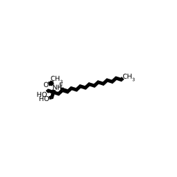 CCCCCCCCCCCCC/C=C(\F)CC(CO)(CO)NC(C)=O